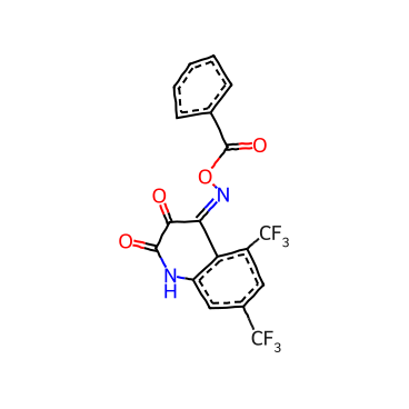 O=C1Nc2cc(C(F)(F)F)cc(C(F)(F)F)c2C(=NOC(=O)c2ccccc2)C1=O